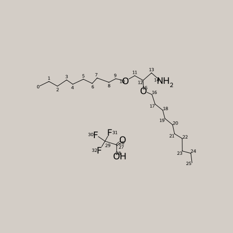 CCCCCCCCCCOCC(CN)OCCCCCCCCCC.O=C(O)C(F)(F)F